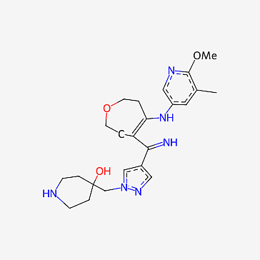 COc1ncc(NC2=C(C(=N)c3cnn(CC4(O)CCNCC4)c3)CCOCC2)cc1C